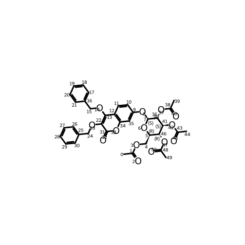 CC(=O)OC[C@H]1O[C@@H](Oc2ccc3c(OCc4ccccc4)c(OCc4ccccc4)c(=O)oc3c2)[C@H](OC(C)=O)[C@@H](OC(C)=O)[C@@H]1OC(C)=O